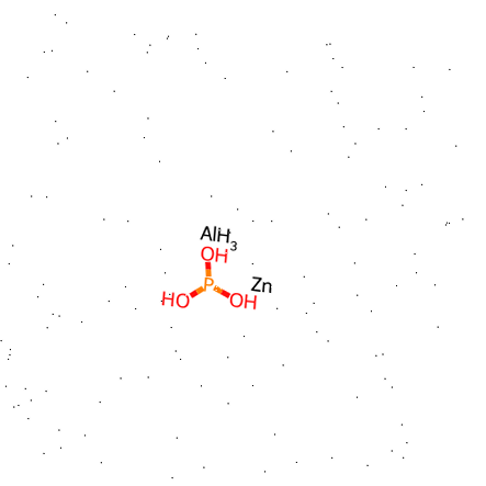 OP(O)O.[AlH3].[Zn]